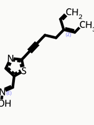 C=C/C(=C\C)CCC#Cc1ncc(/C=N/O)s1